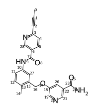 CC#Cc1ccc(C(=O)Nc2ccc(C)c(COc3cncc(C(N)=O)c3)c2)cn1